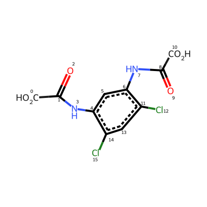 O=C(O)C(=O)Nc1cc(NC(=O)C(=O)O)c(Cl)cc1Cl